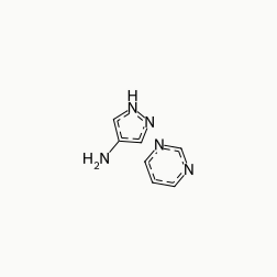 Nc1cn[nH]c1.c1cncnc1